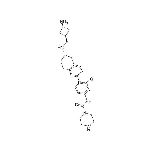 N[C@H]1C[C@@H](CNC2CCc3cc(-n4ccc(NC(=O)N5CCNCC5)nc4=O)ccc3C2)C1